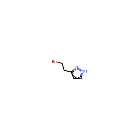 BrCCc1c[c][nH]n1